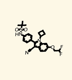 CC(C)(C)S(=O)(=O)Nc1ccc(-c2c(C#N)c3ccc(OCC(F)F)cc3n2C2CCC2)cc1